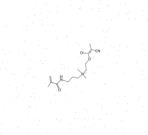 C=C(C)C(=O)NCCC[N+](C)(C)CCO/C([O-])=C(/C)C#N